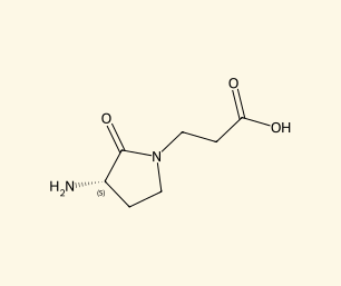 N[C@H]1CCN(CCC(=O)O)C1=O